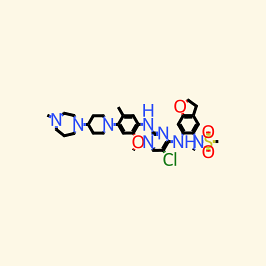 COc1cc(N2CCC(N3CCCN(C)CC3)CC2)c(C)cc1Nc1ncc(Cl)c(Nc2cc3c(cc2N(C)S(C)(=O)=O)CCO3)n1